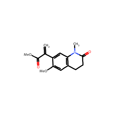 C=C(C(=O)OC)c1cc2c(cc1OC)CCC(=O)N2C